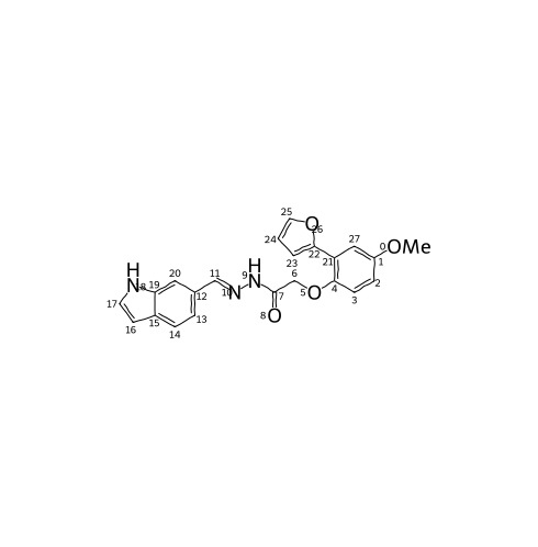 COc1ccc(OCC(=O)N/N=C/c2ccc3cc[nH]c3c2)c(-c2ccco2)c1